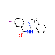 Cc1ccccc1-c1nc2ccc(I)cc2c(=O)[nH]1